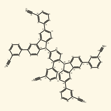 N#Cc1cccc(-c2ccc3c(c2)c2cc(-c4cccc(C#N)c4)ccc2n3-c2cc(-c3cccc(C#N)c3)c(-n3c4ccc(-c5cccc(C#N)c5)cc4c4cc(-c5cccc(C#N)c5)ccc43)cn2)c1